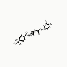 NS(=O)(=O)c1ccc(C(=O)NC23CC(NC(=O)COc4ccc(Cl)c(F)c4)(C2)C3)cn1